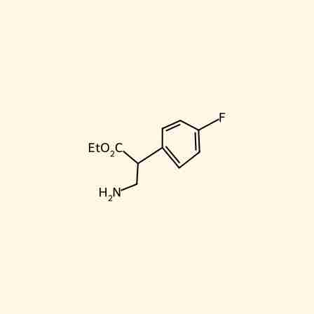 CCOC(=O)C(CN)c1ccc(F)cc1